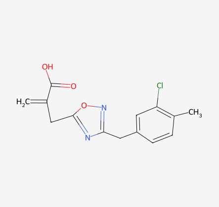 C=C(Cc1nc(Cc2ccc(C)c(Cl)c2)no1)C(=O)O